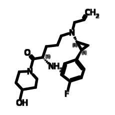 C=CCN(CCC[C@H](N)C(=O)N1CCC(O)CC1)[C@@H]1C[C@H]1c1ccc(F)cc1